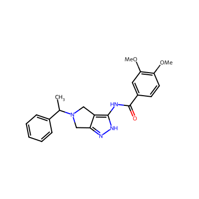 COc1ccc(C(=O)Nc2[nH]nc3c2CN(C(C)c2ccccc2)C3)cc1OC